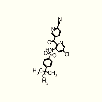 CC(C)(C)c1ccc(S(=O)(=O)Nc2cc(Cl)cnc2C(=O)c2ccc(C#N)nc2)cc1